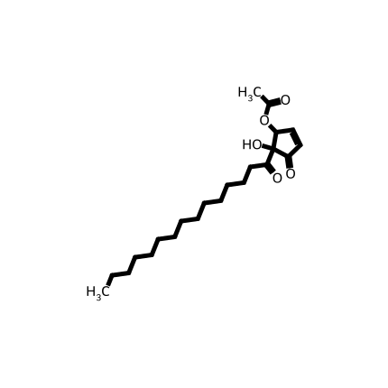 CCCCCCCCCCCCCCC(=O)C1(O)C(=O)C=CC1OC(C)=O